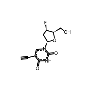 C#Cc1cn([C@H]2C[C@@H](F)[C@@H](CO)O2)c(=O)[nH]c1=O